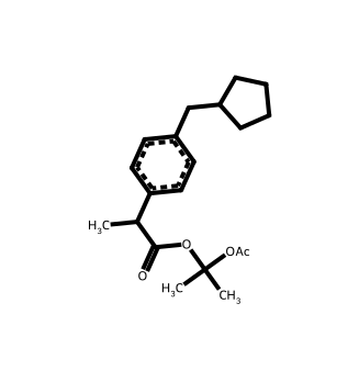 CC(=O)OC(C)(C)OC(=O)C(C)c1ccc(CC2CCCC2)cc1